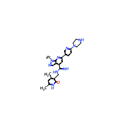 Cc1cc(C)c(CNC(=N)c2cc(-c3ccc(N4CCNCC4)nc3)nc3c2cnn3C(C)C)c(=O)[nH]1